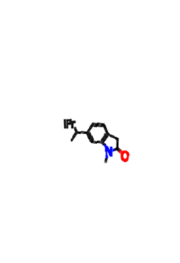 CC(C)C(C)c1ccc2c(c1)N(C)C(=O)C2